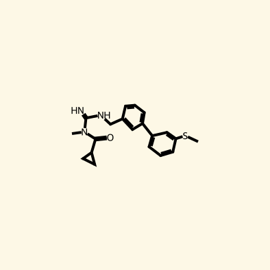 CSc1cccc(-c2cccc(CNC(=N)N(C)C(=O)C3CC3)c2)c1